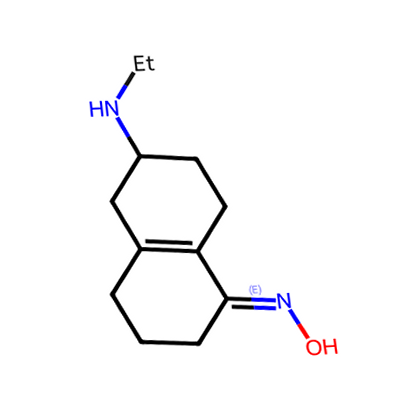 CCNC1CCC2=C(CCC/C2=N\O)C1